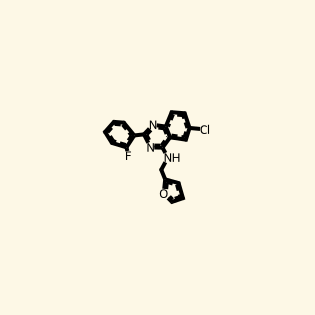 Fc1ccccc1-c1nc(NCc2ccco2)c2cc(Cl)ccc2n1